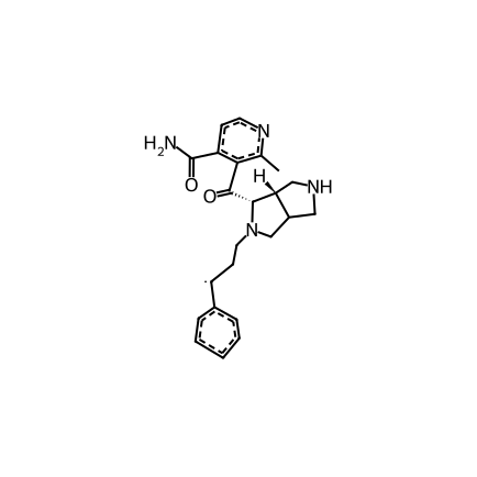 Cc1nccc(C(N)=O)c1C(=O)[C@@H]1[C@@H]2CNCC2CN1CC[CH]c1ccccc1